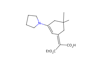 CCOC(=O)C(C(=O)O)=C1C=C(N2CCCC2)CC(C)(C)C1